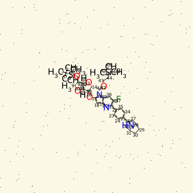 CC(C)(C)[Si](C)(C)OC1CO[C@H]2[C@@H]1OC[C@H]2Oc1cc2nc(-c3ccc(C4=CC5CCC(C4)N5)cc3)c(F)cc2n1COCC[Si](C)(C)C